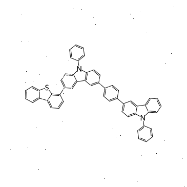 c1ccc(-n2c3ccccc3c3cc(-c4ccc(-c5ccc6c(c5)c5cc(-c7cccc8c7sc7ccccc78)ccc5n6-c5ccccc5)cc4)ccc32)cc1